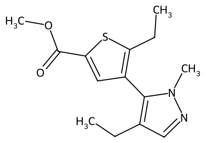 CCc1cnn(C)c1-c1cc(C(=O)OC)sc1CC